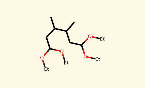 CCOC(CC(C)C(C)CC(OCC)OCC)OCC